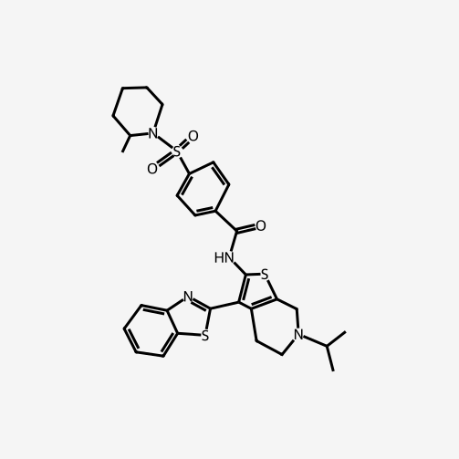 CC(C)N1CCc2c(sc(NC(=O)c3ccc(S(=O)(=O)N4CCCCC4C)cc3)c2-c2nc3ccccc3s2)C1